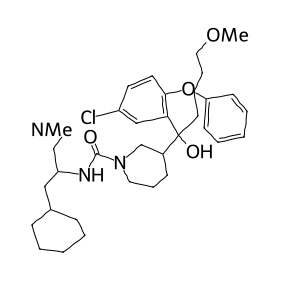 CNCC(CC1CCCCC1)NC(=O)N1CCCC(C(O)(CCCCOC)c2cc(Cl)ccc2Oc2ccccc2)C1